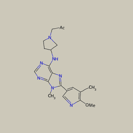 COc1ncc(-c2nc3c(NC4CCN(CC(C)=O)C4)ncnc3n2C)cc1C